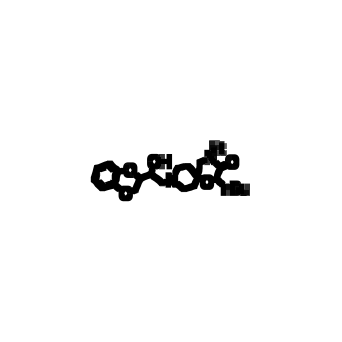 CCCCC1OC2(CCN(CC(O)C3COc4ccccc4O3)CC2)CN(CC)C1=O